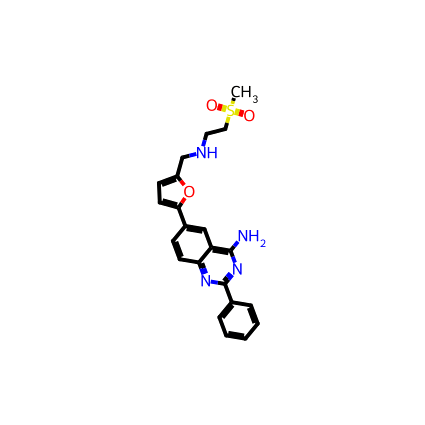 CS(=O)(=O)CCNCc1ccc(-c2ccc3nc(-c4ccccc4)nc(N)c3c2)o1